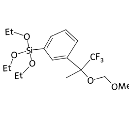 CCO[Si](OCC)(OCC)c1cccc(C(C)(OCOC)C(F)(F)F)c1